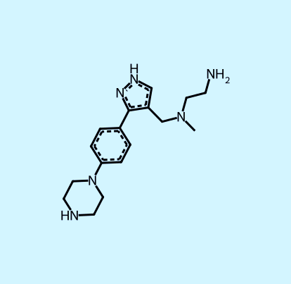 CN(CCN)Cc1c[nH]nc1-c1ccc(N2CCNCC2)cc1